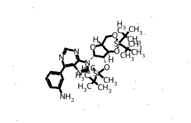 CC(C)(C)[Si](C)(C)O[C@H]1[C@@H]2O[Si](C(C)(C)C)(C(C)(C)C)OC[C@H]2O[C@H]1n1cnc2c(-c3cccc(N)c3)ncnc21